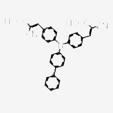 N#C/C(=C/c1ccc(N(c2ccc(/C=C(\C#N)C(=O)O)cc2)c2ccc(-c3ccccc3)cc2)cc1)C(=O)O